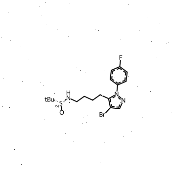 CC(C)(C)[S@@+]([O-])NCCCCc1c(Br)cnn1-c1ccc(F)cc1